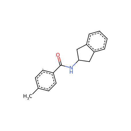 Cc1c[c]c(C(=O)NC2Cc3ccccc3C2)cc1